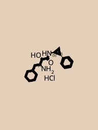 Cl.N[C@H](CC1CCCCC1)C(O)C(=O)N[C@H]1C[C@@H]1c1ccccc1